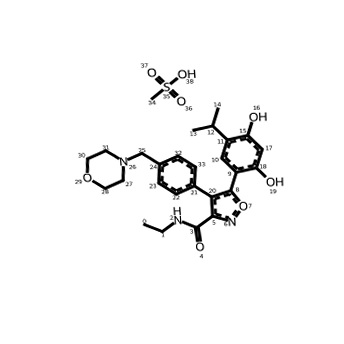 CCNC(=O)c1noc(-c2cc(C(C)C)c(O)cc2O)c1-c1ccc(CN2CCOCC2)cc1.CS(=O)(=O)O